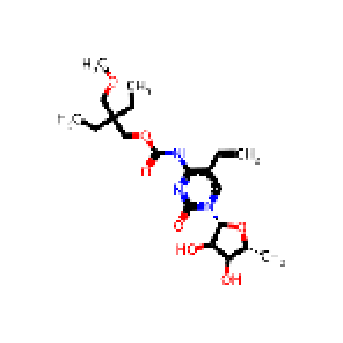 C=Cc1cn([C@@H]2O[C@H](C)C(O)C2O)c(=O)nc1NC(=O)OCC(CC)(CC)COC